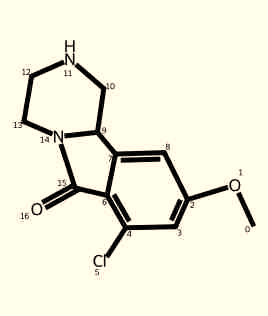 COc1cc(Cl)c2c(c1)C1CNCCN1C2=O